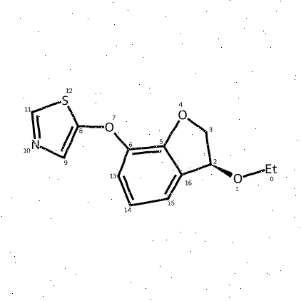 CCO[C@@H]1COc2c(Oc3cncs3)cccc21